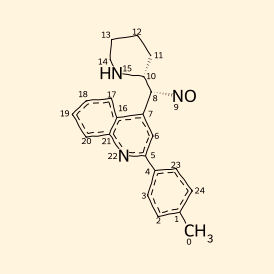 Cc1ccc(-c2cc([C@@H](N=O)[C@H]3CCCCN3)c3ccccc3n2)cc1